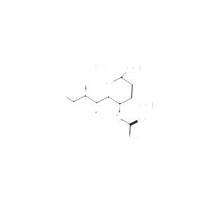 CCCC(=O)N[C@H]1[C@H]([C@H](O)[C@H](O)CO)O[C@](O)(C(=O)O)C[C@@H]1O